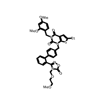 CCc1cc2c(=O)n(Cc3ccc(OC)cc3OC)c(=O)n(Cc3ccc(-c4ccccc4-c4noc(=O)n4COCCOC)cc3)c2s1